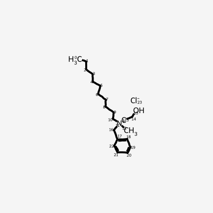 CCCCCCCCCCC[N+](C)(CCO)Cc1ccccc1.[Cl-]